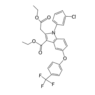 CCOC(=O)Cc1c(C(=O)OCC)c2cc(Oc3ccc(C(F)(F)F)cc3)ccc2n1-c1cccc(Cl)c1